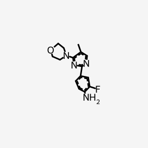 Cc1cnc(-c2ccc(N)c(F)c2)nc1N1CCOCC1